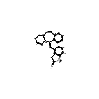 O=C1Cc2c(/C=C3\c4ccccc4CCC4CCC=CC34)cccc2N1